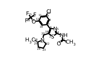 CC(=O)Nc1nc(-c2cc(Cl)cc(OC(F)(F)F)c2)c(CN2CCC[C@H]2C)s1